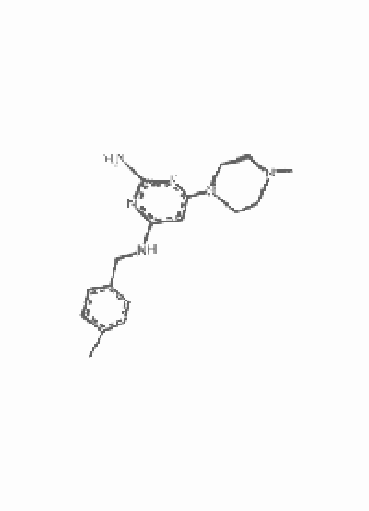 Cc1ccc(CNc2cc(N3CCN(C)CC3)nc(N)n2)cc1